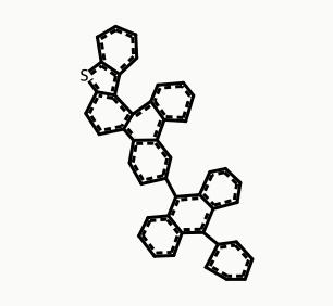 c1ccc(-c2c3ccccc3c(-c3ccc4c(c3)c3ccccc3c3c4ccc4sc5ccccc5c43)c3ccccc23)cc1